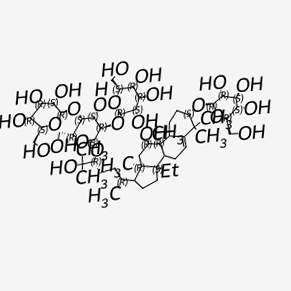 CC[C@@]12CCC([C@H](C)CC[C@@H](O[C@@H]3O[C@H](CO)[C@@H](O[C@H]4O[C@@H](CO)[C@H](O)[C@@H](O)[C@@H]4O)[C@H](O)[C@H]3O[C@H]3O[C@@H](CO)[C@H](O)[C@@H](O)[C@@H]3O)C(C)(C)O)[C@@]1(C)C[C@@H](O)[C@@]1(C)C3CC[C@H](O[C@@H]4O[C@H](CO)[C@@H](O)[C@H](O)[C@H]4O)C(C)(C)C3=CCC12